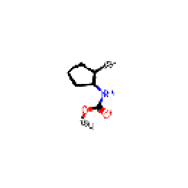 CC(C)C1CCCC1NC(=O)OC(C)(C)C